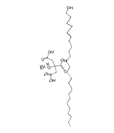 CCCCCCCCCCCCCCCCCCCCCCCCO.O=C(O)CC(O)(CC(=O)O)C(=O)O.[KH]